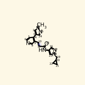 Cn1cc(-c2ccncc2/C=C/C(=O)Nc2cnn(CC3CC3)c2)cn1